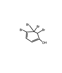 OC1=CC=C(Br)C(Br)(Br)C1Br